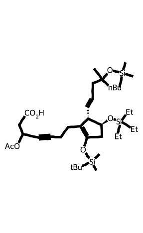 CCCCC(C)(C/C=C/[C@H]1C(CCC#CC(CC(=O)O)OC(C)=O)=C(O[Si](C)(C)C(C)(C)C)C[C@@H]1O[Si](CC)(CC)CC)O[Si](C)(C)C